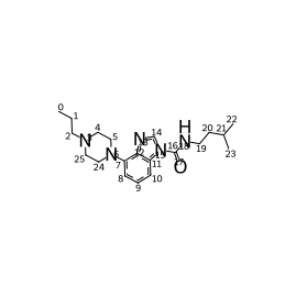 CCCN1CCN(c2cccc3c2ncn3C(=O)NCCC(C)C)CC1